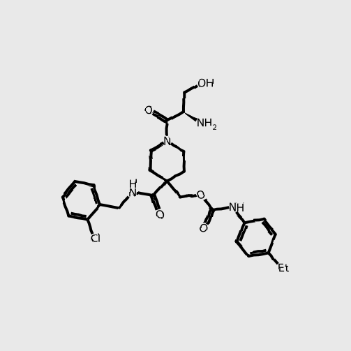 CCc1ccc(NC(=O)OCC2(C(=O)NCc3ccccc3Cl)CCN(C(=O)[C@H](N)CO)CC2)cc1